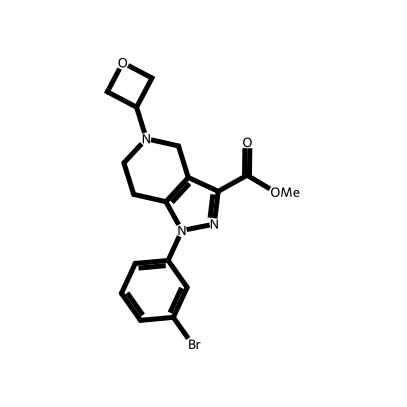 COC(=O)c1nn(-c2cccc(Br)c2)c2c1CN(C1COC1)CC2